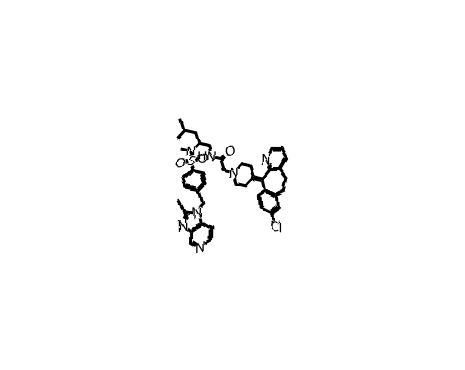 Cc1nc2cnccc2n1Cc1ccc(S(=O)(=O)N(C)C(CNC(=O)CN2CCC(=C3c4ccc(Cl)cc4CCc4cccnc43)CC2)CC(C)C)cc1